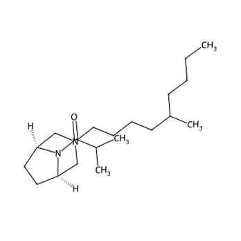 CCCCC(C)CCCCN1C[C@H]2CC[C@@H](C1)N2C(=O)C(C)C